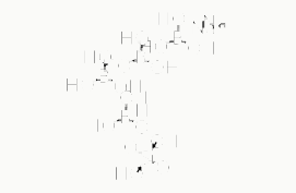 OB(O)O.OB(O)O.OB(O)O.OB(O)O.[Na+].[Na+].[O-][Si]([O-])(O)O